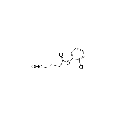 O=CCCCC(=O)Oc1ccccc1Cl